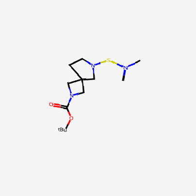 CN(C)SN1CCC2(C1)CN(C(=O)OC(C)(C)C)C2